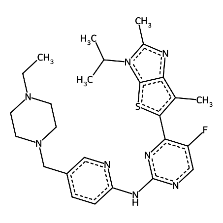 CCN1CCN(Cc2ccc(Nc3ncc(F)c(-c4sc5c(nc(C)n5C(C)C)c4C)n3)nc2)CC1